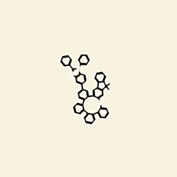 CC1(C)c2ccccc2-c2cc3c(cc21)Sc1ccccc1-c1ccccc1-c1ccccc1-c1ccc(-c2ccc4c(c2)nc(-c2ccccc2)n4-c2ccccc2)cc1-3